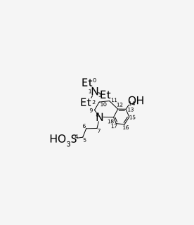 CCN(CC)CC.O=S(=O)(O)CCCN1CCCc2c(O)cccc21